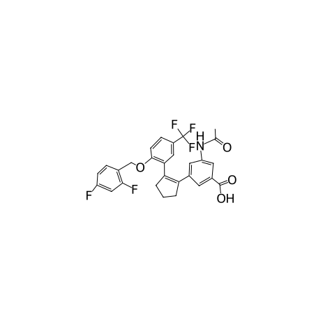 CC(=O)Nc1cc(C(=O)O)cc(C2=C(c3cc(C(F)(F)F)ccc3OCc3ccc(F)cc3F)CCC2)c1